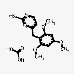 COc1cc(OC)c(Cc2ccnc(S)n2)c(OC)c1.O=C(O)O